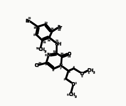 COCC(COC)n1cc(Cl)nc(Nc2c(C)cc(Br)cc2Br)c1=O